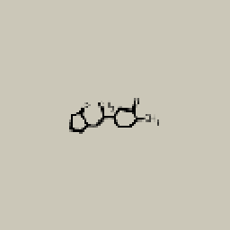 CC1CCC(C(C)CC2CCCC2=O)CC1=O